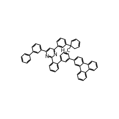 CC1(c2cccc(-c3cc(-c4cccc(-c5ccccc5)c4)nc(-c4ccccc4-c4cccc(-c5ccc6c7ccccc7c7ccccc7c6c5)c4)n3)c2)C=CC=CC1